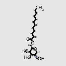 CCCCCCCCCCCC(=O)OC[C@H]1OC/C(=N\O)[C@@H](O)[C@@H]1O